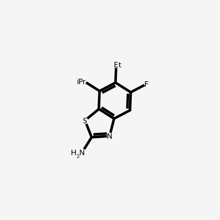 CCc1c(F)cc2nc(N)sc2c1C(C)C